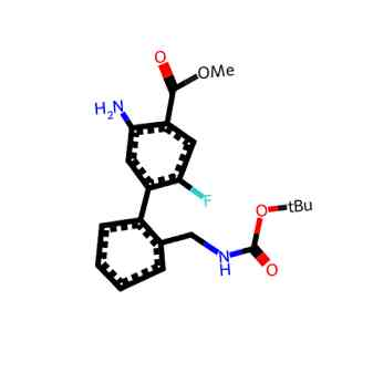 COC(=O)c1cc(F)c(-c2ccccc2CNC(=O)OC(C)(C)C)cc1N